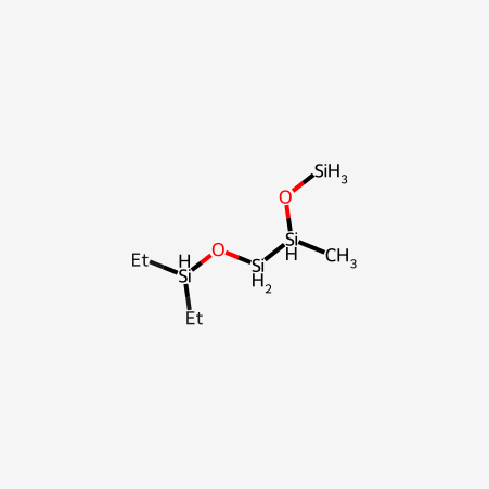 CC[SiH](CC)O[SiH2][SiH](C)O[SiH3]